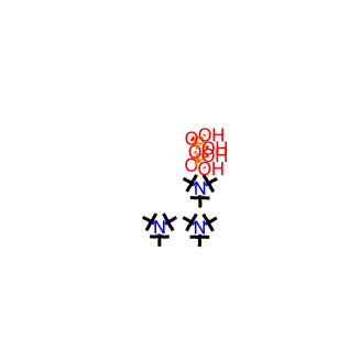 CC(C)(C)N(C(C)(C)C)C(C)(C)C.CC(C)(C)N(C(C)(C)C)C(C)(C)C.CC(C)(C)N(C(C)(C)C)C(C)(C)C.O=P(O)(O)OP(=O)(O)O